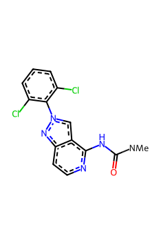 CNC(=O)Nc1nccc2nn(-c3c(Cl)cccc3Cl)cc12